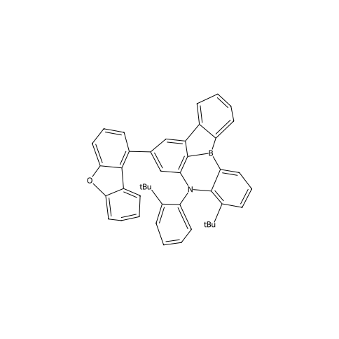 CC(C)(C)c1ccccc1N1c2cc(-c3cccc4oc5ccccc5c34)cc3c2B(c2ccccc2-3)c2cccc(C(C)(C)C)c21